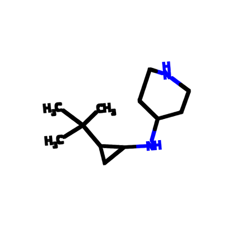 CC(C)(C)C1CC1NC1CCNCC1